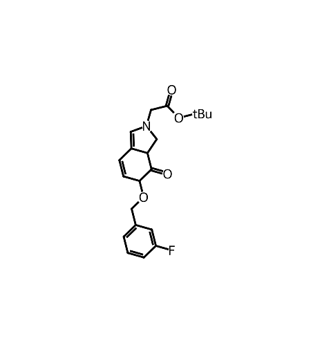 CC(C)(C)OC(=O)CN1C=C2C=CC(OCc3cccc(F)c3)C(=O)C2C1